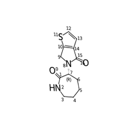 O=C1NCCCC[C@H]1N1Cc2sccc2C1=O